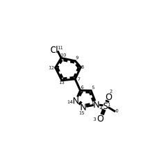 CS(=O)(=O)n1cc(-c2ccc(Cl)cc2)nn1